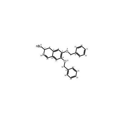 CCCCC1Cc2cc(OCc3ccccc3)c(OCc3ccccc3)cc2C=N1